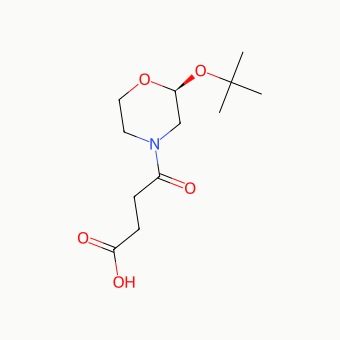 CC(C)(C)O[C@H]1CN(C(=O)CCC(=O)O)CCO1